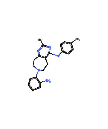 CC(C)c1nc2c(c(Nc3ccc(C(F)(F)F)cc3)n1)CCN(c1ccccc1N)CC2